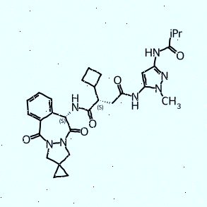 CC(C)C(=O)Nc1cc(NC(=O)C[C@H](C(=O)N[C@@H]2C(=O)N3CC4(CC4)CN3C(=O)c3ccccc32)C2CCC2)n(C)n1